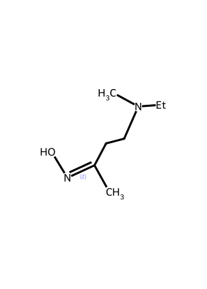 CCN(C)CC/C(C)=N\O